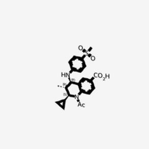 CC(=O)N1c2ccc(C(=O)O)cc2[C@H](Nc2ccc(S(C)(=O)=O)cc2)[C@@H](C)[C@@H]1C1CC1